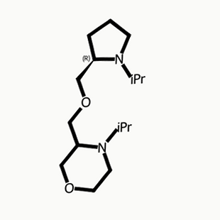 CC(C)N1CCOCC1COC[C@H]1CCCN1C(C)C